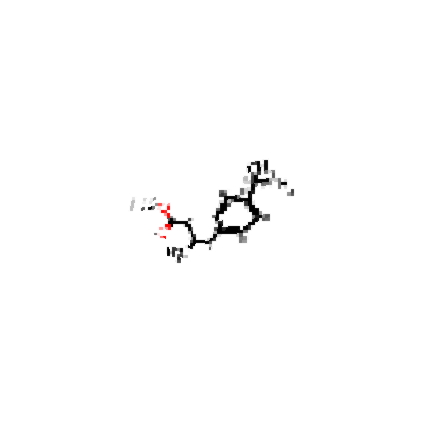 COC(=O)CC(C)Cc1ccc(C(C)C)cc1